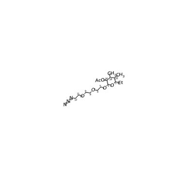 CCC1OC(OCCOCCOCCN=[N+]=[N-])C(OC(C)=O)C(C)C1C